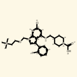 C[Si](C)(C)CCOCn1cc(-c2ccccc2F)c2c(OCC3CCN(C(=O)O)CC3)cc(Cl)nc21